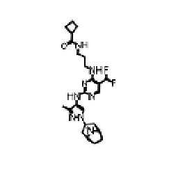 Cc1nn(C2CC3CCC(C2)N3C)cc1Nc1ncc(C(F)F)c(NCCCNC(=O)C2CCC2)n1